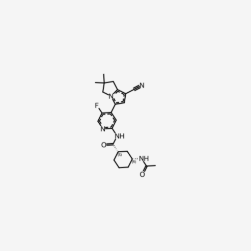 CC(=O)N[C@@H]1CCC[C@H](C(=O)Nc2cc(-c3cc(C#N)c4n3CC(C)(C)C4)c(F)cn2)C1